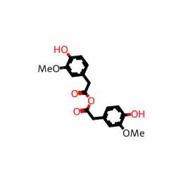 COc1cc(CC(=O)OC(=O)Cc2ccc(O)c(OC)c2)ccc1O